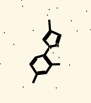 Cc1ccc(-n2cc(C)cn2)c(C)c1